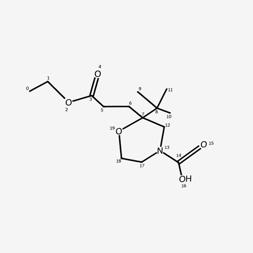 CCOC(=O)CCC1(C(C)(C)C)CN(C(=O)O)CCO1